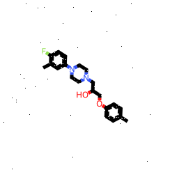 Cc1ccc(OCC(O)CN2CCN(c3ccc(F)c(C)c3)CC2)cc1